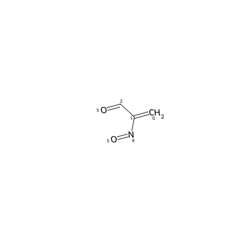 C=C(C=O)N=O